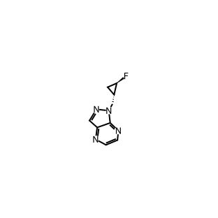 F[C@@H]1C[C@H]1Cn1ncc2nccnc21